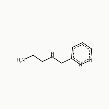 NCCNCc1cccnn1